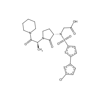 C[C@@H](C(=O)N1CCCCC1)N1CC[C@H](N(CC(=O)O)S(=O)(=O)c2ccc(-c3ccc(Cl)s3)s2)C1=O